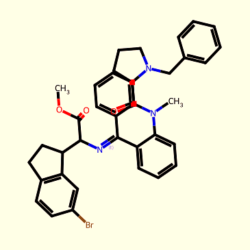 COC(=O)C(/N=C(\c1ccccc1)c1ccccc1N(C)C(=O)C1CCCN1Cc1ccccc1)C1CCc2ccc(Br)cc21